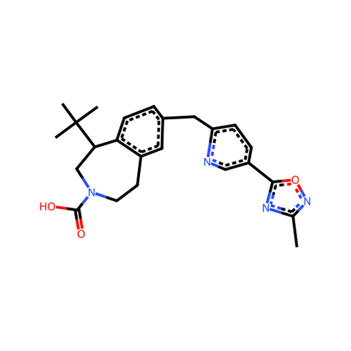 Cc1noc(-c2ccc(Cc3ccc4c(c3)CCN(C(=O)O)CC4C(C)(C)C)nc2)n1